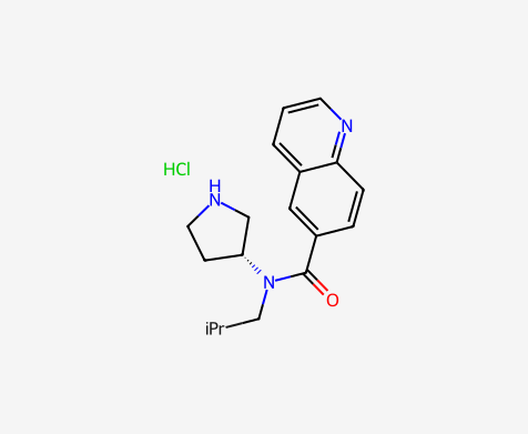 CC(C)CN(C(=O)c1ccc2ncccc2c1)[C@@H]1CCNC1.Cl